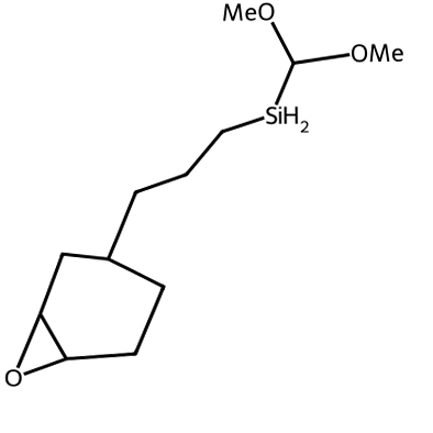 COC(OC)[SiH2]CCCC1CCC2OC2C1